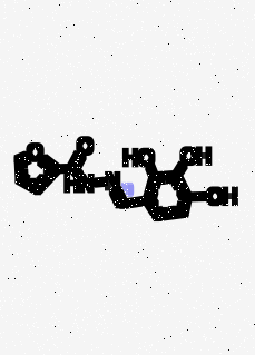 O=C(N/N=C/c1ccc(O)c(O)c1O)c1ccco1